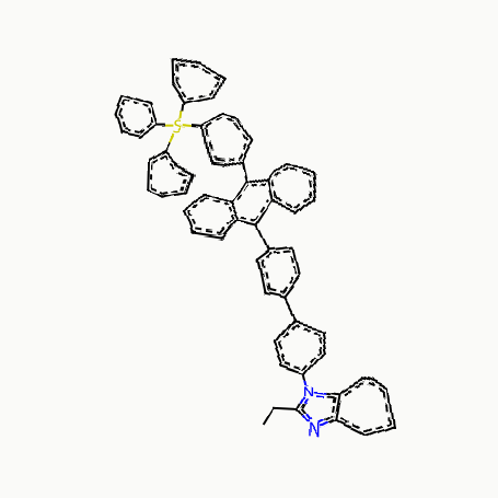 CCc1nc2ccccc2n1-c1ccc(-c2ccc(-c3c4ccccc4c(-c4cccc(S(c5ccccc5)(c5ccccc5)c5ccccc5)c4)c4ccccc34)cc2)cc1